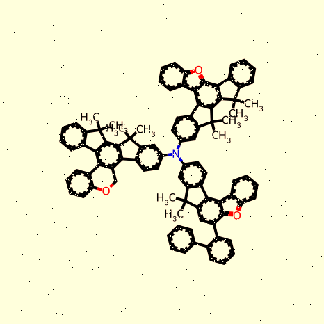 CC1(C)c2cc(N(c3ccc4c(c3)C(C)(C)c3c-4c4c(c5c3C(C)(C)c3ccccc3-5)-c3ccccc3OC4)c3ccc4c(c3)C(C)(C)c3c5c(c6oc7ccccc7c6c3-4)-c3ccccc3C5(C)C)ccc2-c2c1cc(-c1ccccc1-c1ccccc1)c1oc3ccccc3c21